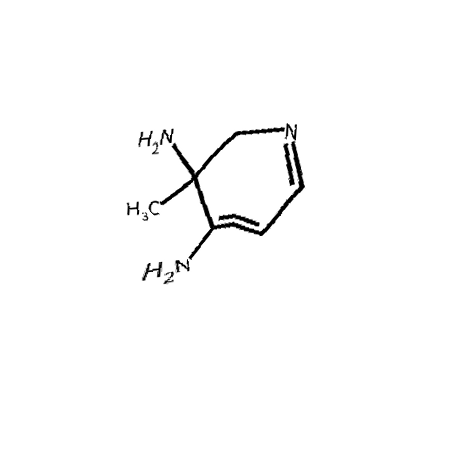 CC1(N)CN=CC=C1N